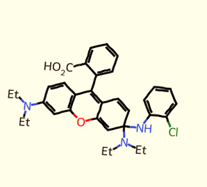 CCN(CC)c1ccc2c(c1)OC1=CC(Nc3ccccc3Cl)(N(CC)CC)C=CC1=C2c1ccccc1C(=O)O